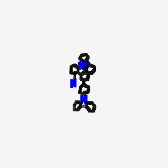 N#Cc1ccc(-c2ccc(-n3c4ccccc4c4ccccc43)cc2)cc1-c1c(C#N)cccc1-n1c2ccccc2c2ccccc21